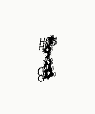 Cc1cc(Cl)c(Cl)c(N2CCN(CCC3CCC(NC(=O)C4(O)CC4)CC3)CC2C)c1